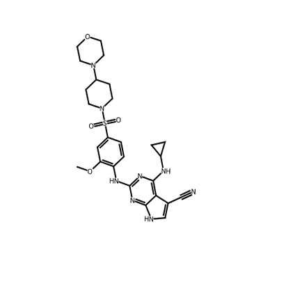 COc1cc(S(=O)(=O)N2CCC(N3CCOCC3)CC2)ccc1Nc1nc(NC2CC2)c2c(C#N)c[nH]c2n1